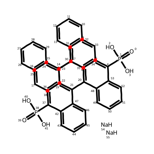 O=P(O)(O)c1cc(P(c2ccccc2)c2ccccc2)c(-c2c(P(c3ccccc3)c3ccccc3)cc(P(=O)(O)O)c3ccccc23)c2ccccc12.[NaH].[NaH]